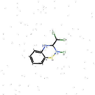 ClC(Cl)C1Nc2ccccc2SN1Cl